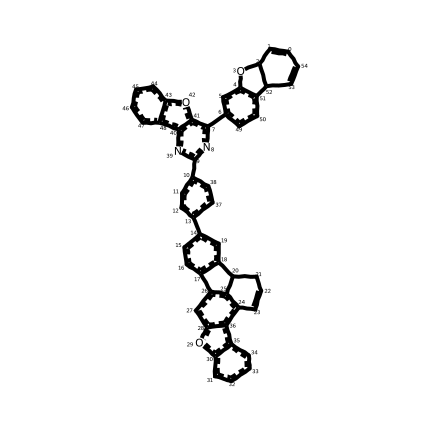 C1=CC2Oc3cc(-c4nc(-c5ccc(-c6ccc7c(c6)C6CC=Cc8c6c-7cc6oc7ccccc7c86)cc5)nc5c4oc4ccccc45)ccc3C2C=C1